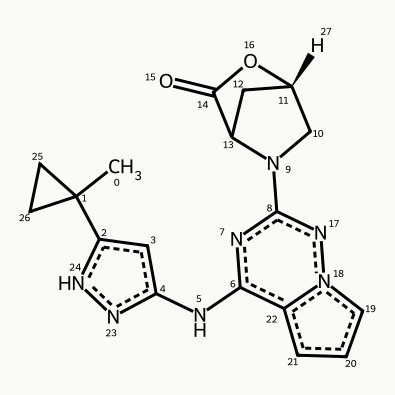 CC1(c2cc(Nc3nc(N4C[C@@H]5CC4C(=O)O5)nn4cccc34)n[nH]2)CC1